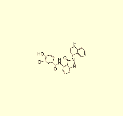 O=C(Nc1cccc2ncn(C3CCNc4ccccc43)c(=O)c12)c1ccc(O)c(Cl)c1